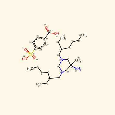 CCCCC(CC)CN1CN(CC(CC)CCCC)CC(C)(N)C1.O=C(O)c1ccc(S(=O)(=O)O)cc1